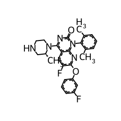 Cc1cccc(C)c1-n1c(=O)nc(N2CCNC[C@@H]2C)c2cc(F)c(Oc3cccc(F)c3)nc21